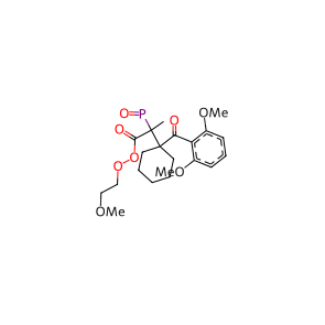 COCCOOC(=O)C(C)(P=O)C1(C(=O)c2c(OC)cccc2OC)CCCCC1